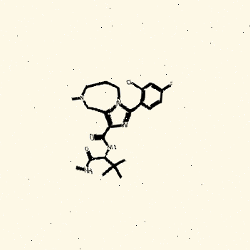 CNC(=O)[C@@H](NC(=O)c1nc(-c2ccc(F)cc2Cl)n2c1CN(C)CCC2)C(C)(C)C